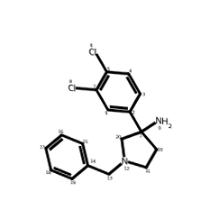 NC1(c2ccc(Cl)c(Cl)c2)CCN(Cc2ccccc2)C1